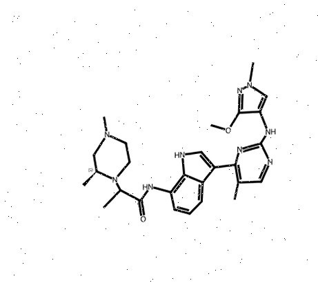 COc1nn(C)cc1Nc1ncc(C)c(-c2c[nH]c3c(NC(=O)C(C)N4CCN(C)C[C@@H]4C)cccc23)n1